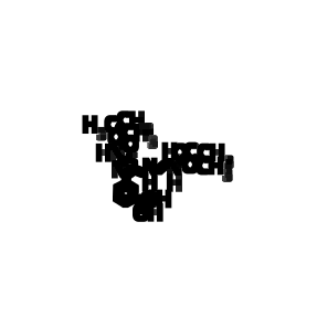 CC(C)(C)OC(=O)NCCNCc1sc(NC(=O)OC(C)(C)C)nc1-c1cccc(B(O)O)c1